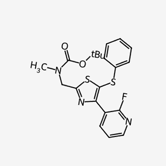 CN(Cc1nc(-c2cccnc2F)c(Sc2ccccc2)s1)C(=O)OC(C)(C)C